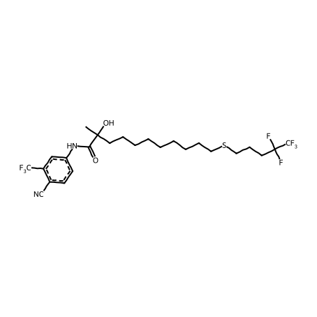 CC(O)(CCCCCCCCCSCCCC(F)(F)C(F)(F)F)C(=O)Nc1ccc(C#N)c(C(F)(F)F)c1